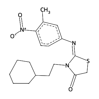 Cc1cc(N=C2SCC(=O)N2CCC2CCCCC2)ccc1[N+](=O)[O-]